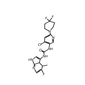 CC1C(F)=CN=C2NC=C(NC(=O)Nc3cnc(N4CCC(F)(F)CC4)cc3Cl)C21